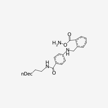 CCCCCCCCCCCCNC(=O)c1ccc(NCc2ccccc2C(=O)ON)cc1